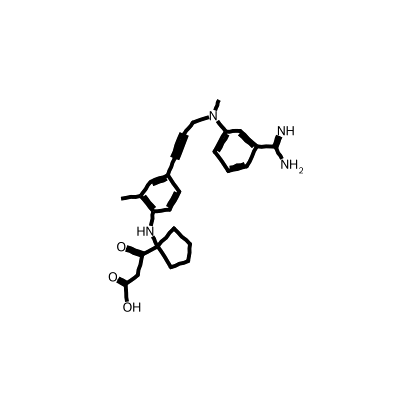 Cc1cc(C#CCN(C)c2cccc(C(=N)N)c2)ccc1NC1(C(=O)CC(=O)O)CCCC1